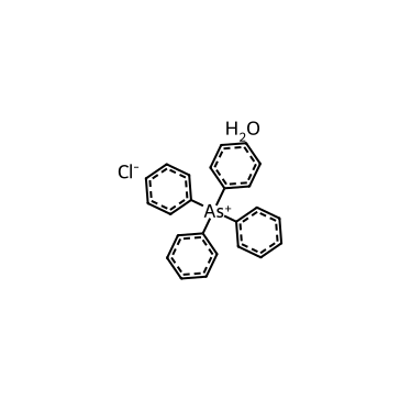 O.[Cl-].c1ccc([As+](c2ccccc2)(c2ccccc2)c2ccccc2)cc1